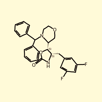 O=C1N[C@@H](Cc2cc(F)cc(F)c2)[C@@H](C2COCCN2C(c2ccccc2)c2ccccc2)O1